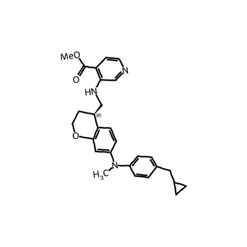 COC(=O)c1ccncc1NC[C@@H]1CCOc2cc(N(C)c3ccc(CC4CC4)cc3)ccc21